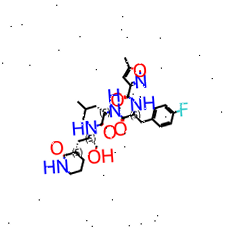 Cc1cc(C(=O)N[C@@H](Cc2ccc(F)cc2)C(=O)N[C@@H](CC(C)C)C(=O)N[C@H](CO)C[C@@H]2CCCNC2=O)no1